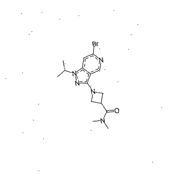 CC(C)n1nc(N2CC(C(=O)N(C)C)C2)c2cnc(Br)cc21